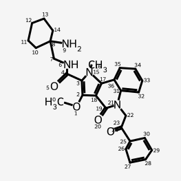 COc1c(C(=O)NCC2(N)CCCCC2)n(C)c2c1c(=O)n(CC(=O)c1ccccc1)c1ccccc21